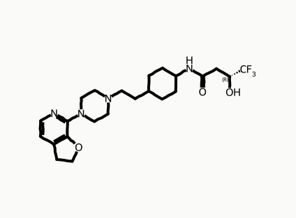 O=C(C[C@@H](O)C(F)(F)F)NC1CCC(CCN2CCN(c3nccc4c3OCC4)CC2)CC1